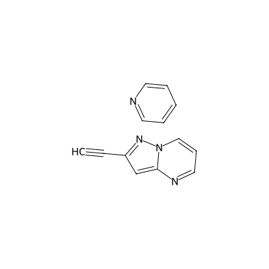 C#Cc1cc2ncccn2n1.c1ccncc1